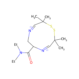 CCN(CC)C(=O)C1C/N=C\C(C)(C)SSC(C)(C)/C=N\1